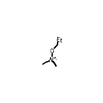 CCCO[N+](C)C